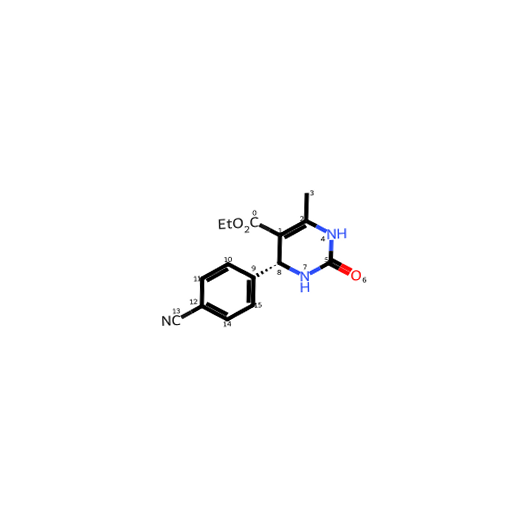 CCOC(=O)C1=C(C)NC(=O)N[C@@H]1c1ccc(C#N)cc1